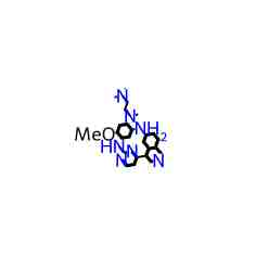 COc1cc(N(C)CCN(C)C)c(N)cc1Nc1nccc(-c2cncc3ccccc23)n1